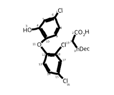 CCCCCCCCCCCC(=O)O.Oc1cc(Cl)ccc1Oc1ccc(Cl)cc1Cl